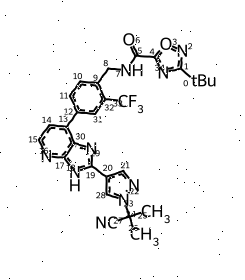 CC(C)(C)c1noc(C(=O)NCc2ccc(-c3ccnc4[nH]c(-c5cnn(C(C)(C)C#N)c5)nc34)cc2C(F)(F)F)n1